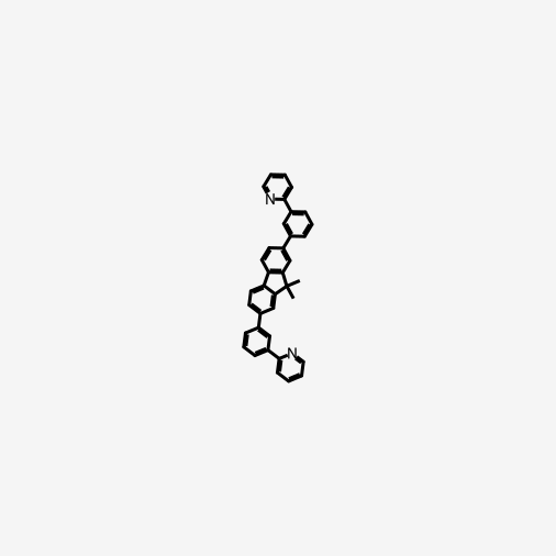 CC1(C)c2cc(-c3cccc(-c4ccccn4)c3)ccc2-c2ccc(-c3cccc(-c4ccccn4)c3)cc21